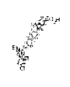 CCn1cc(-c2ccc(Cl)cc2Cl)nc1/C=C/c1ccc(-c2ccc(-c3nc4cc(C(=O)O)ccc4[nH]3)cc2)cc1